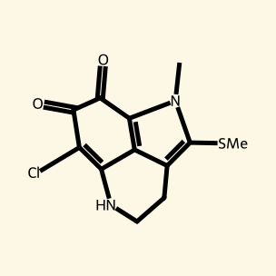 CSc1c2c3c(n1C)C(=O)C(=O)C(Cl)=C3NCC2